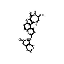 CC1CNc2c(oc3ccc4nc(Oc5nc(Cl)nc6c5COCC6)ccc4c23)C(=O)N1